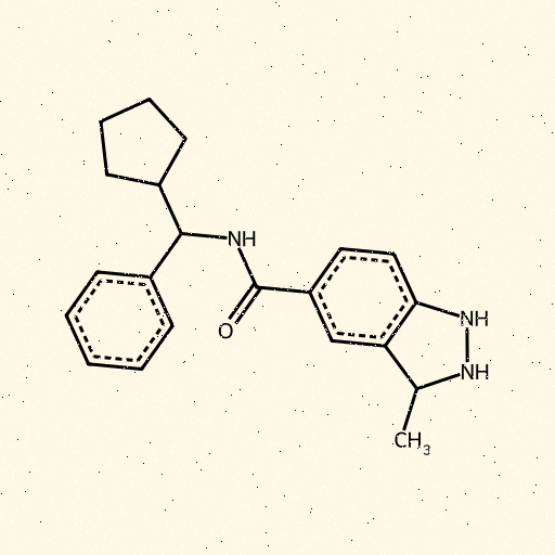 CC1NNc2ccc(C(=O)NC(c3ccccc3)C3CCCC3)cc21